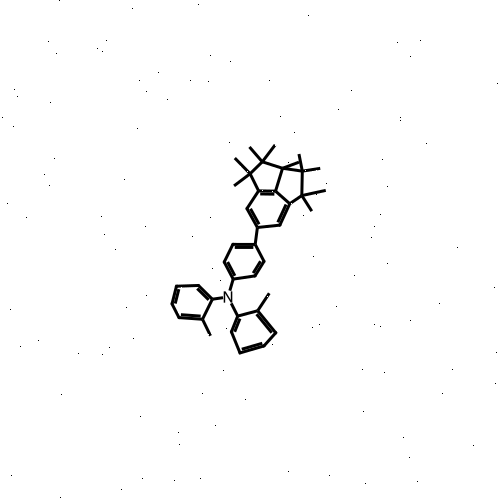 Cc1ccccc1N(c1ccc(-c2cc3c4c(c2)C(C)(C)C(C)(C)C4(C)C(C)(C)C3(C)C)cc1)c1ccccc1C